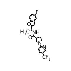 C[C@@H](NC(=O)C1CCN(c2ccc(C(F)(F)F)cn2)C1)c1cc2cc(F)ccc2o1